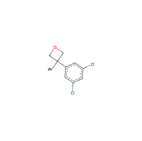 CC(C)C1(c2cc(Cl)cc(Cl)c2)COC1